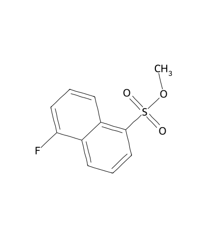 COS(=O)(=O)c1cccc2c(F)cccc12